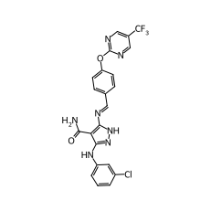 NC(=O)c1c(Nc2cccc(Cl)c2)n[nH]c1/N=C/c1ccc(Oc2ncc(C(F)(F)F)cn2)cc1